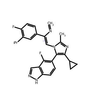 C=N/C(=C\n1c(C)nc(C2CC2)c1-c1ccc2[nH]ncc2c1F)c1ccc(F)c(C(C)C)c1